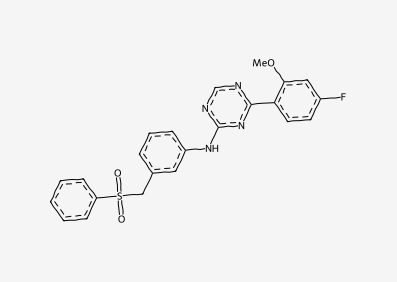 COc1cc(F)ccc1-c1ncnc(Nc2cccc(CS(=O)(=O)c3ccccc3)c2)n1